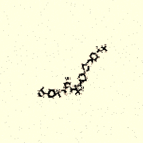 Cc1ncsc1-c1ccc(C(C)NC(=O)[C@@H]2C[C@@H](O)CN2C(=O)C(NC(=O)c2cnc(N3CCN(CC4(F)CCN(C(=O)OC(C)(C)C)CC4)CC3)cn2)C(C)(C)C)cc1